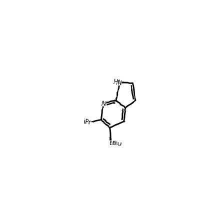 CC(C)c1nc2[nH]ccc2cc1C(C)(C)C